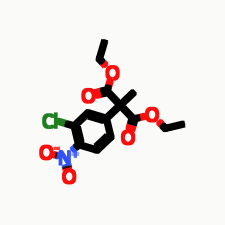 CCOC(=O)C(C)(C(=O)OCC)c1ccc([N+](=O)[O-])c(Cl)c1